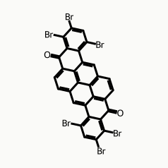 O=c1c2ccc3cc4c5c(Br)cc(Br)c(Br)c5c(=O)c5ccc6cc(c7c(Br)cc(Br)c(Br)c17)c2c3c6c54